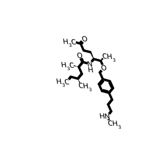 CC[C@@H](C)C[C@H](C)C(=O)N[C@@H](CCC(C)=O)[C@@H](C)OCc1ccc(CCCNC)cc1